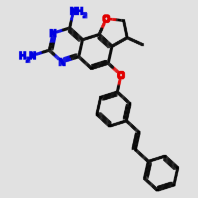 CC1COc2c1c(Oc1cccc(/C=C/c3ccccc3)c1)cc1nc(N)nc(N)c21